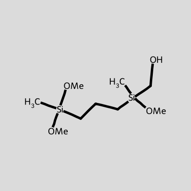 CO[Si](C)(CO)CCC[Si](C)(OC)OC